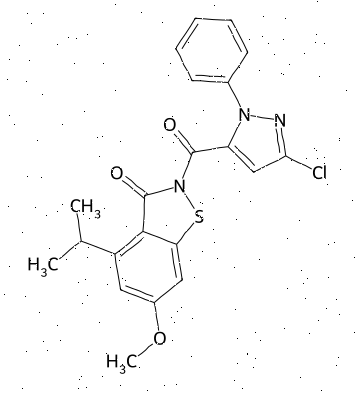 COc1cc(C(C)C)c2c(=O)n(C(=O)c3cc(Cl)nn3-c3ccccc3)sc2c1